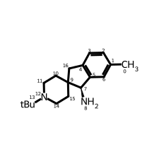 Cc1ccc2c(c1)[C@@H](N)C1(CCN(C(C)(C)C)CC1)C2